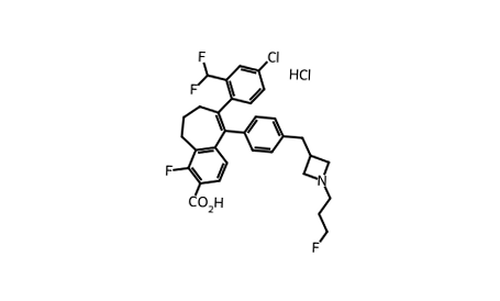 Cl.O=C(O)c1ccc2c(c1F)CCCC(c1ccc(Cl)cc1C(F)F)=C2c1ccc(CC2CN(CCCF)C2)cc1